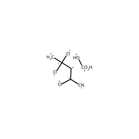 CC(Cl)(Cl)CC(Cl)C#N.O=C(O)O